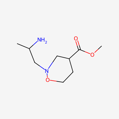 COC(=O)C1CCON(CC(C)N)C1